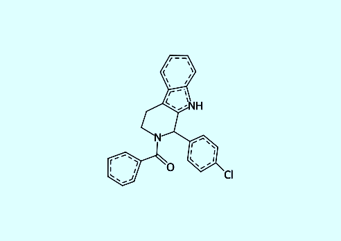 O=C(c1ccccc1)N1CCc2c([nH]c3ccccc23)C1c1ccc(Cl)cc1